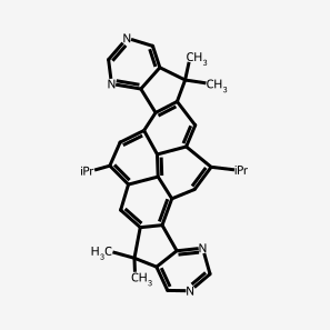 CC(C)c1cc2c3c(cc4c(C(C)C)cc5c6c(cc1c5c42)C(C)(C)c1cncnc1-6)C(C)(C)c1cncnc1-3